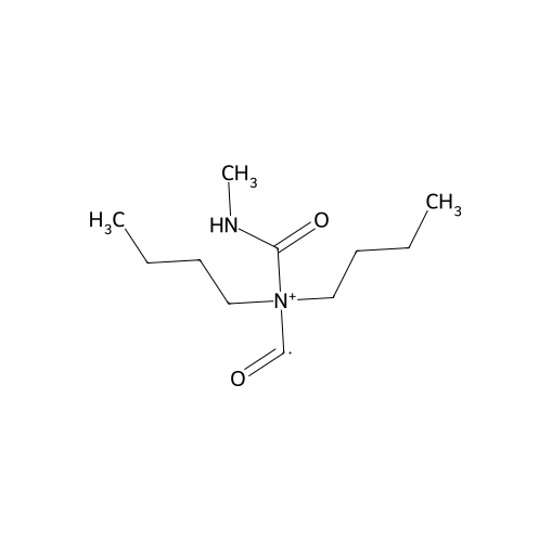 CCCC[N+]([C]=O)(CCCC)C(=O)NC